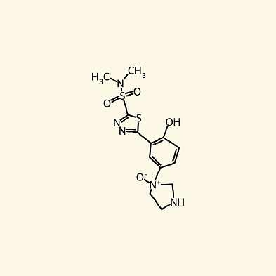 CN(C)S(=O)(=O)c1nnc(-c2cc([N+]3([O-])CCNC3)ccc2O)s1